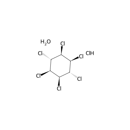 Cl.Cl[C@H]1[C@H](Cl)[C@@H](Cl)[C@@H](Cl)[C@H](Cl)[C@H]1Cl.O